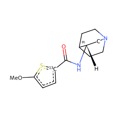 COc1cc[13c](C(=O)N[C@H]2CN3CCC2CC3)s1